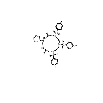 Cc1ccc(S(=O)(=O)N2CCN(S(=O)(=O)c3ccc(C)cc3)CC(=O)NCC(C3CCCCC3)NC(=O)CN(S(=O)(=O)c3ccc(C)cc3)CC2)cc1